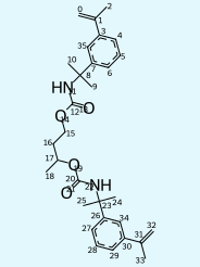 C=C(C)c1cccc(C(C)(C)NC(=O)OCCC(C)OC(=O)NC(C)(C)c2cccc(C(=C)C)c2)c1